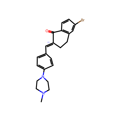 CN1CCN(c2ccc(/C=C3\CCc4cc(Br)ccc4C3=O)cc2)CC1